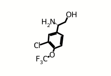 N[C@H](CO)c1ccc(OC(F)(F)F)c(Cl)c1